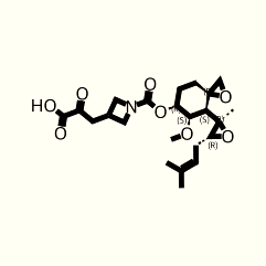 CO[C@@H]1[C@H](OC(=O)N2CC(CC(=O)C(=O)O)C2)CC[C@]2(CO2)[C@H]1[C@@]1(C)O[C@@H]1CC=C(C)C